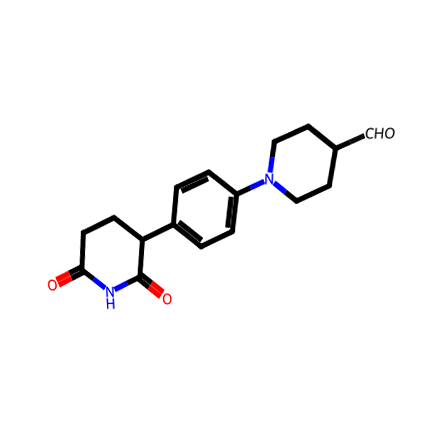 O=CC1CCN(c2ccc(C3CCC(=O)NC3=O)cc2)CC1